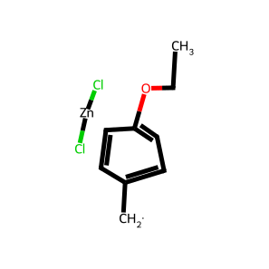 [CH2]c1ccc(OCC)cc1.[Cl][Zn][Cl]